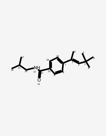 C/C(=C\C(C)(C)C)c1ccc(C(=O)NCC(C)C)cc1